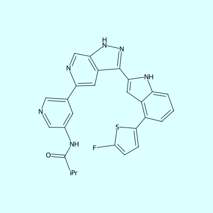 CC(C)C(=O)Nc1cncc(-c2cc3c(-c4cc5c(-c6ccc(F)s6)cccc5[nH]4)n[nH]c3cn2)c1